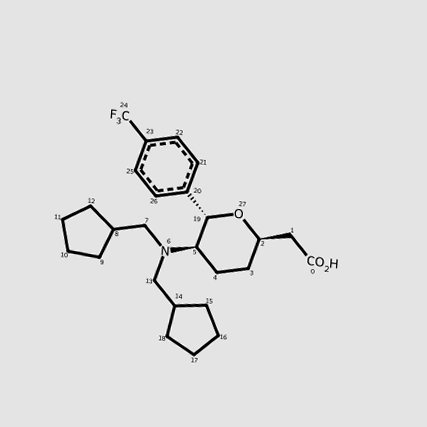 O=C(O)C[C@H]1CC[C@@H](N(CC2CCCC2)CC2CCCC2)[C@H](c2ccc(C(F)(F)F)cc2)O1